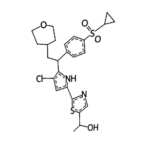 CC(O)c1cnc(-c2cc(Cl)c(C(CC3CCOCC3)c3ccc(S(=O)(=O)C4CC4)cc3)[nH]2)s1